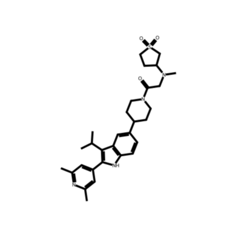 Cc1cc(-c2[nH]c3ccc(C4CCN(C(=O)CN(C)C5CCS(=O)(=O)C5)CC4)cc3c2C(C)C)cc(C)n1